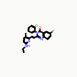 CCNc1ccc(C)c(C=Cc2nc3ccc(F)cc3c(=O)n2-c2ccccc2Cl)n1